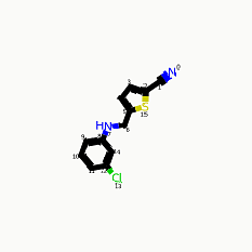 N#Cc1ccc(CNc2cccc(Cl)c2)s1